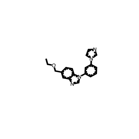 CCOCc1ccc2c(c1)ncn2-c1cccc(-n2ccnc2)c1